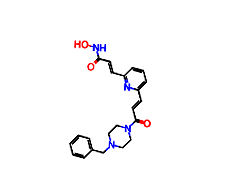 O=C(C=Cc1cccc(C=CC(=O)N2CCN(Cc3ccccc3)CC2)n1)NO